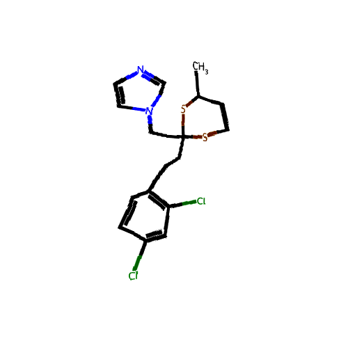 CC1CCSC(CCc2ccc(Cl)cc2Cl)(Cn2ccnc2)S1